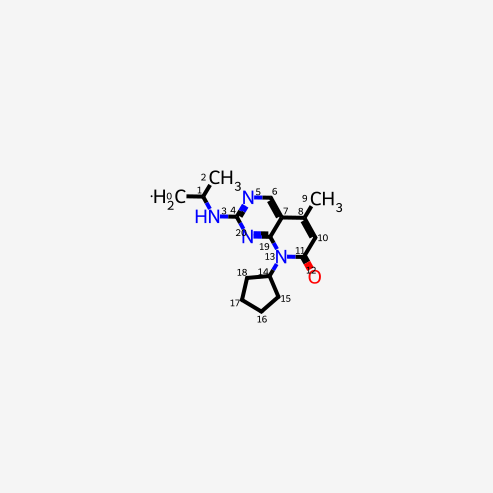 [CH2]C(C)Nc1ncc2c(C)cc(=O)n(C3CCCC3)c2n1